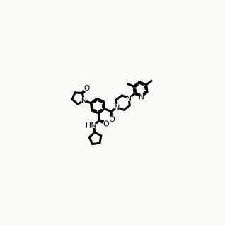 Cc1cnc(N2CCN(C(=O)c3ccc(N4CCCC4=O)cc3C(=O)NC3CCCC3)CC2)c(C)c1